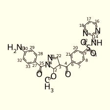 COC1C(C(=O)c2ccc(S(=O)(=O)Nc3ncccn3)cc2)C=NN1C(=O)c1ccc(N)cc1